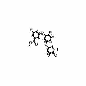 COC(=O)c1cc(F)cc(Oc2cc(Cc3cc(C)c(=O)[nH]n3)ccc2C)c1